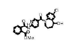 COC(=O)c1ccccc1C(=O)Nc1ccc(C(=O)N2CCCC(O)c3cc(Cl)ccc32)cn1